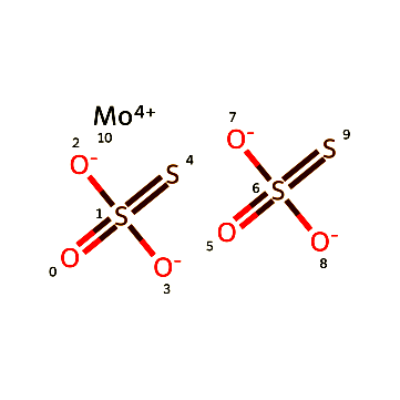 O=S([O-])([O-])=S.O=S([O-])([O-])=S.[Mo+4]